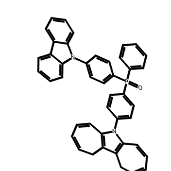 O=P(c1ccccc1)(c1ccc(-n2c3c(c4c2C=CC=CC4)CC=CC=C3)cc1)c1ccc(-n2c3ccccc3c3ccccc32)cc1